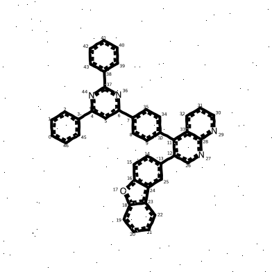 c1ccc(-c2cc(-c3ccc(-c4c(-c5ccc6oc7ccccc7c6c5)cnc5ncccc45)cc3)nc(-c3ccccc3)n2)cc1